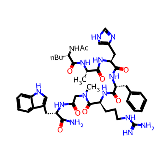 CCCC[C@H](NC(C)=O)C(=O)N[C@@H](C)C(=O)N[C@@H](Cc1c[nH]cn1)C(=O)N[C@H](Cc1ccccc1)C(=O)N[C@@H](CCCNC(=N)N)C(=O)N(C)CC(=O)N[C@@H](Cc1c[nH]c2ccccc12)C(N)=O